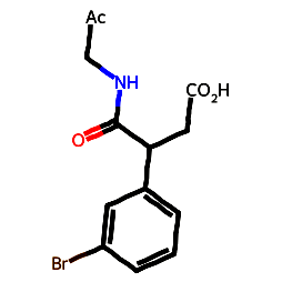 CC(=O)CNC(=O)C(CC(=O)O)c1cccc(Br)c1